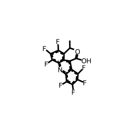 CC(C)c1c(F)c(F)c(F)c2nc3c(F)c(F)c(F)c(F)c3c(C(=O)O)c12